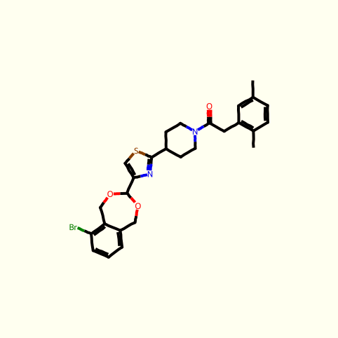 Cc1ccc(C)c(CC(=O)N2CCC(c3nc(C4OCc5cccc(Br)c5CO4)cs3)CC2)c1